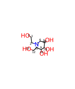 OCCN1C[C@H](O)C(O)C(O)C1CO